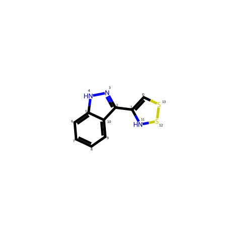 C1=C(c2n[nH]c3ccccc23)NSS1